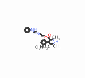 CC1=C(C(=O)O)C(c2cccc([N+](=O)[O-])c2)C(C(=O)OCCCNCCNc2ccccc2)=C(C)N1